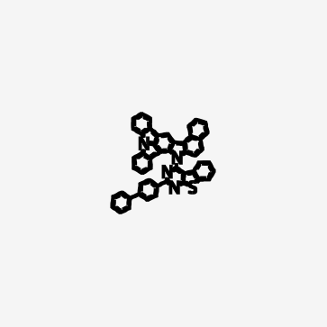 c1ccc(-c2ccc(-c3nc(-n4c5ccc6ccccc6c5c5cc6c7ccccc7n7c8ccccc8c(c54)c67)c4c(n3)sc3ccccc34)cc2)cc1